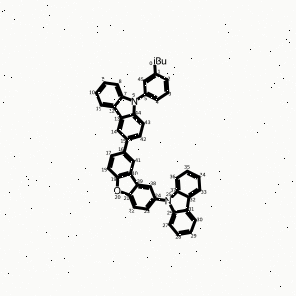 CCC(C)c1cccc(-n2c3ccccc3c3cc(-c4ccc5oc6ccc(-n7c8ccccc8c8ccccc87)cc6c5c4)ccc32)c1